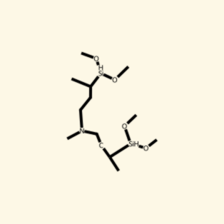 CO[SiH](OC)C(C)CCN(C)CCC(C)[SiH](OC)OC